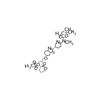 CN(C(=O)OC(C)(C)C)c1ccc(-c2nc3ccc(OCC(COS(C)(=O)=O)O[C@@H]4CCCCO4)cc3s2)cn1